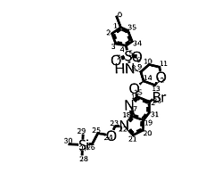 Cc1ccc(S(=O)(=O)N[C@@H]2CCOC[C@H]2Oc2nc3c(ccn3COCC[Si](C)(C)C)cc2Br)cc1